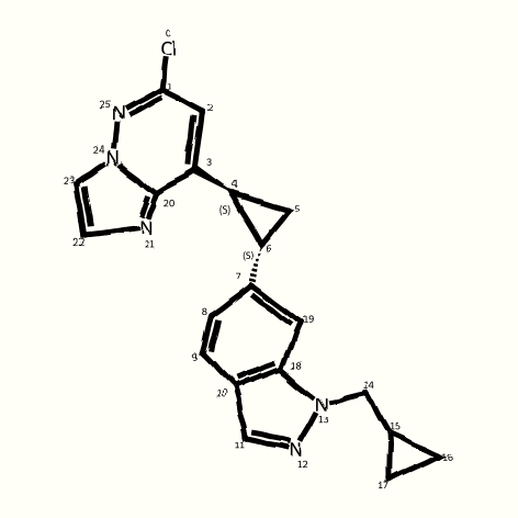 Clc1cc([C@H]2C[C@@H]2c2ccc3cnn(CC4CC4)c3c2)c2nccn2n1